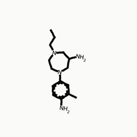 CCCN1CCN(c2ccc(N)c(C)c2)CC(N)C1